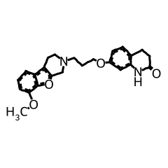 COc1cccc2c3c(oc12)CN(CCCOc1ccc2c(c1)NC(=O)CC2)CC3